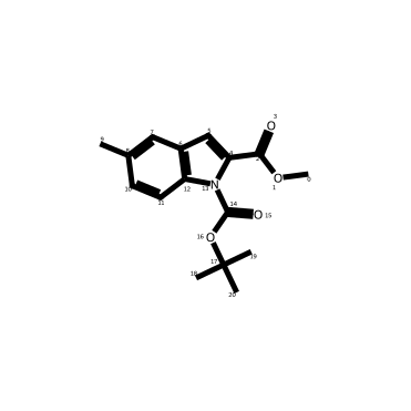 COC(=O)c1cc2cc(C)ccc2n1C(=O)OC(C)(C)C